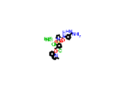 Cc1ccc2cccc(OCc3c(Cl)ccc(S(=O)(=O)N4CCC[C@H]4C(=O)Nc4cccc(C(=N)N)c4)c3Cl)c2n1.Cl.Cl